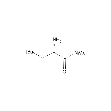 CNC(=O)[C@@H](N)CC(C)(C)C